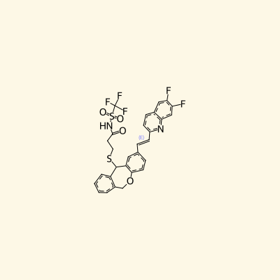 O=C(CCSC1c2ccccc2COc2ccc(/C=C/c3ccc4cc(F)c(F)cc4n3)cc21)NS(=O)(=O)C(F)(F)F